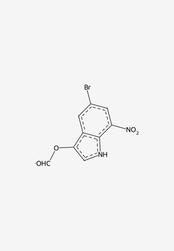 O=[C]Oc1c[nH]c2c([N+](=O)[O-])cc(Br)cc12